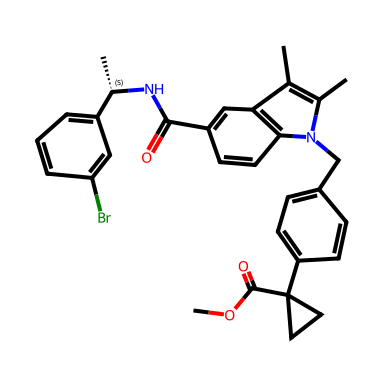 COC(=O)C1(c2ccc(Cn3c(C)c(C)c4cc(C(=O)N[C@@H](C)c5cccc(Br)c5)ccc43)cc2)CC1